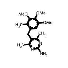 COc1cc(Cc2c(C)nc(N)nc2N)c(C)c(OC)c1OC